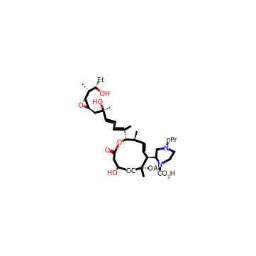 CCCN1CCN(C(=O)O)C([C@@H]2/C=C/[C@H](C)[C@@H](/C(C)=C/C=C/[C@](C)(O)C[C@H]3O[C@@H]3[C@H](C)[C@@H](O)CC)OC(=O)C[C@H](O)CC[C@@]2(C)OC(C)=O)C1